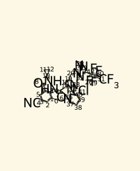 Cc1cc(C#N)cc(C(=O)NC2CC2)c1NC(=O)c1cc(Cn2nnc(C(F)(F)C(F)(F)C(F)(F)F)n2)nn1-c1ncccc1Cl